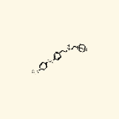 O=[N+]([O-])c1ccc(N=Nc2ccc(CCNCC[N+]34CCN(CC3)CC4)cc2)cc1